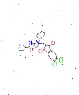 O=C1C(=Cc2cc3oc(C4CCCCC4)nc3n2-c2ccccc2)C(=O)c2cc(Cl)c(Cl)cc21